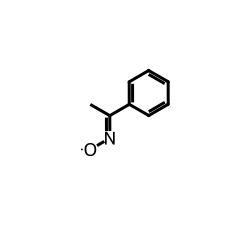 CC(=N[O])c1ccccc1